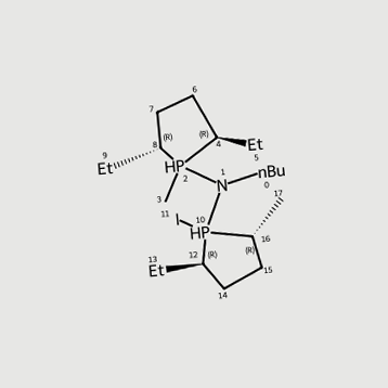 CCCCN([PH]1(C)[C@H](CC)CC[C@H]1CC)[PH]1(I)[C@H](CC)CC[C@H]1C